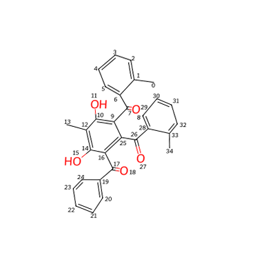 Cc1ccccc1C(=O)c1c(O)c(C)c(O)c(C(=O)c2ccccc2)c1C(=O)c1ccccc1C